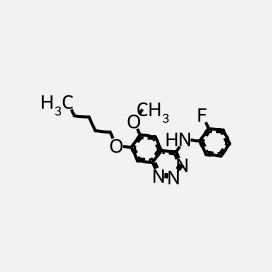 CCCCCOc1cc2nnnc(Nc3ccccc3F)c2cc1OC